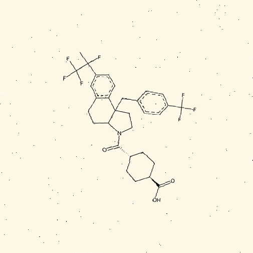 CC(F)(c1ccc2c(c1)CCC1N(C(=O)[C@H]3CC[C@H](C(=O)O)CC3)CCC21Cc1ccc(C(F)(F)F)cc1)C(F)(F)F